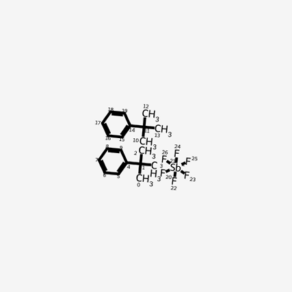 CC(C)(C)c1ccccc1.CC(C)(C)c1ccccc1.[F][Sb-]([F])([F])([F])([F])[F]